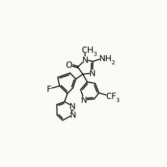 CN1C(=O)C(c2cncc(C(F)(F)F)c2)(c2ccc(F)c(-c3cccnn3)c2)N=C1N